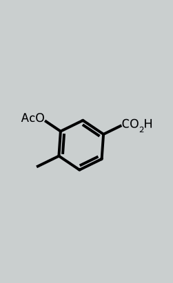 CC(=O)Oc1cc(C(=O)O)ccc1C